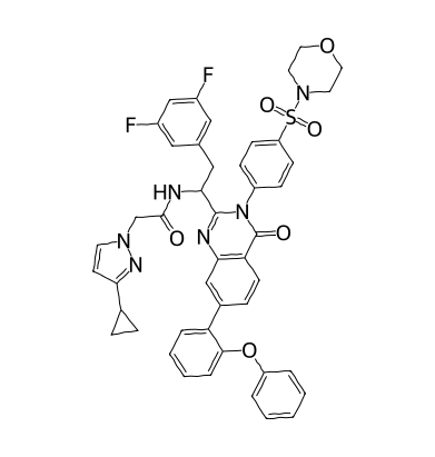 O=C(Cn1ccc(C2CC2)n1)NC(Cc1cc(F)cc(F)c1)c1nc2cc(-c3ccccc3Oc3ccccc3)ccc2c(=O)n1-c1ccc(S(=O)(=O)N2CCOCC2)cc1